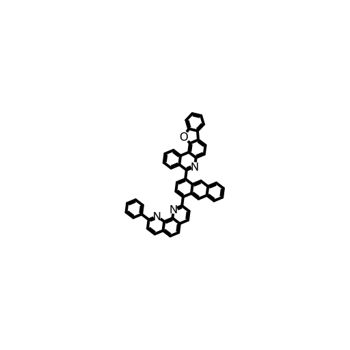 c1ccc(-c2ccc3ccc4ccc(-c5ccc(-c6nc7ccc8c9ccccc9oc8c7c7ccccc67)c6cc7ccccc7cc56)nc4c3n2)cc1